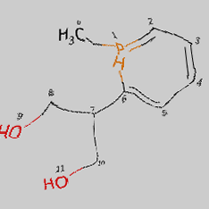 C[PH]1=CC=CC=C1C(CO)CO